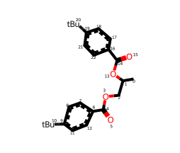 CC(COC(=O)c1ccc(C(C)(C)C)cc1)OC(=O)c1ccc(C(C)(C)C)cc1